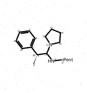 CCCCCNC([C@H](C)c1ccccc1)N1CCCC1